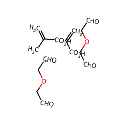 C=C(C)C(=O)O.C=CC(=O)O.O=CCOCC=O.O=CCOCC=O